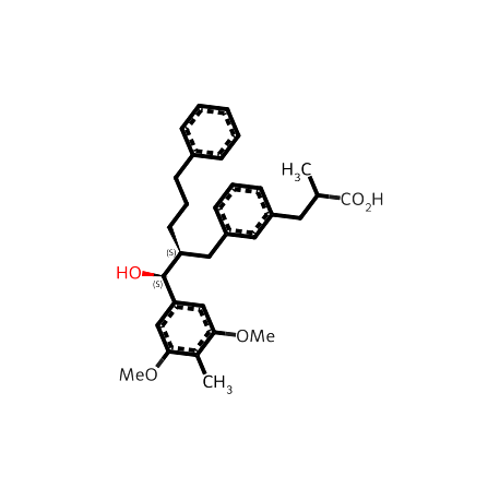 COc1cc([C@@H](O)[C@@H](CCCc2ccccc2)Cc2cccc(CC(C)C(=O)O)c2)cc(OC)c1C